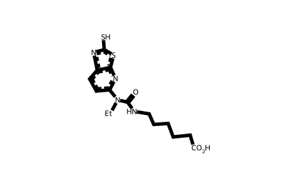 CCN(C(=O)NCCCCCC(=O)O)c1ccc2nc(S)sc2n1